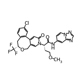 COCC[C@@H](C(=O)Nc1ccn2ncnc2c1)n1cc2c(cc1=O)-c1cc(Cl)ccc1C[C@@H](C(F)(F)F)OC2